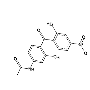 CC(=O)Nc1ccc(C(=O)c2ccc([N+](=O)[O-])cc2O)c(O)c1